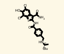 C[C@@H](NCc1ccc(C(=O)Nc2sc3c(Cl)c(O)c(Cl)cc3c2C(N)=O)cc1)C(C)(C)C